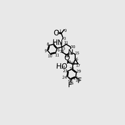 CC(=O)CNC1(c2ccccc2)CCN(CC2CC2(C(=O)O)c2ccc(F)c(F)c2)CC1